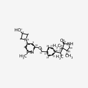 Cc1cc(N2CC(O)C2)cc(OCc2ccc(C(C)[C@@]3(C)C(=O)NC[C@@H]3C)cc2)n1